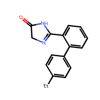 CCc1ccc(-c2ccccc2C2=NCC(=O)N2)cc1